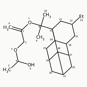 C=C(COC(C)O)OC(C)(C)C12CC(CC)CC3C4CC(CC1C4)CC32